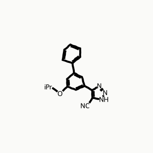 CC(C)Oc1cc(-c2ccccc2)cc(-c2nn[nH]c2C#N)c1